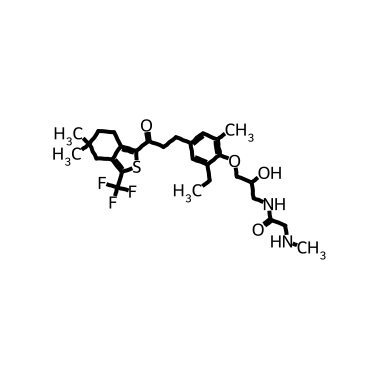 CCc1cc(CCC(=O)c2sc(C(F)(F)F)c3c2CCC(C)(C)C3)cc(C)c1OCC(O)CNC(=O)CNC